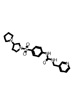 O=C(NCc1cccnc1)Nc1ccc(S(=O)(=O)N2CCC(N3CCCC3)C2)cc1